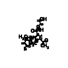 CC(=O)c1cc(C(=O)NOCCO)c(Nc2ccc(I)cc2C)n1C